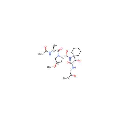 COC(=O)CNC(=O)C(=O)C1(NC(=O)[C@@H]2C[C@@H](OC(C)(C)C)CN2C(=O)[C@@H](NC(=O)OCC(C)C)C(C)(C)C)CCCCC1